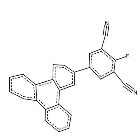 N#Cc1cc(-c2ccc3c4ccccc4c4ccccc4c3c2)cc(C#N)c1F